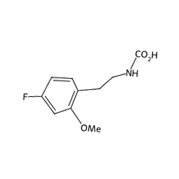 COc1cc(F)ccc1CCNC(=O)O